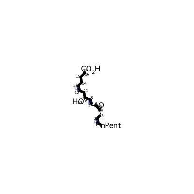 CCCCC/C=C\C[C@H]1O[C@@H]1/C=C/C(O)C/C=C\CCCC(=O)O